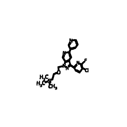 C[Si](C)(C)CCOCn1nc(-c2ccc(Cl)c(F)n2)c2cc(-c3cccnc3)ncc21